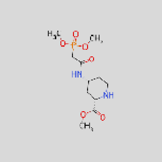 COC(=O)[C@@H]1C[C@H](NC(=O)CP(=O)(OC)OC)CCN1